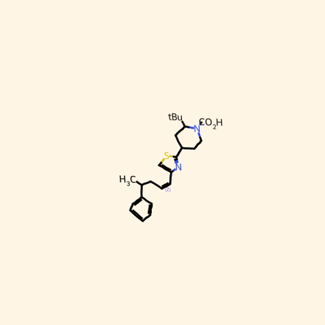 CC(C/C=C\c1csc(C2CCN(C(=O)O)C(C(C)(C)C)C2)n1)c1ccccc1